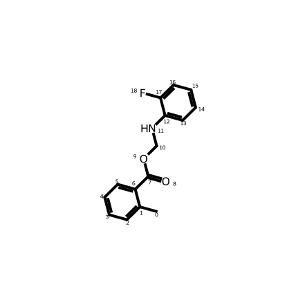 Cc1ccccc1C(=O)OCNc1ccccc1F